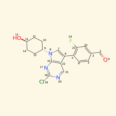 O=Cc1ccc(-c2cn([C@H]3CC[C@H](O)CC3)c3nc(Cl)ncc23)c(F)c1